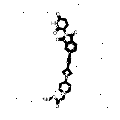 CC(C)(C)OC(=O)CN1CCC(N2CC(C#Cc3ccc4c(c3)C(=O)N(C3CCC(=O)NC3=O)C4=O)C2)CC1